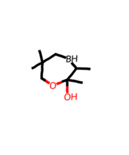 CC1BCC(C)(C)COC1(C)O